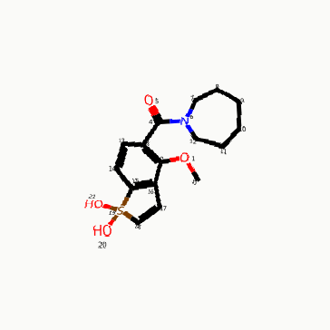 COc1c(C(=O)N2CCCCCC2)ccc2c1C=CS2(O)O